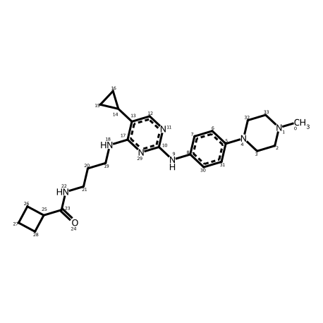 CN1CCN(c2ccc(Nc3ncc(C4CC4)c(NCCCNC(=O)C4CCC4)n3)cc2)CC1